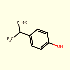 CCCCCCC(c1ccc(O)cc1)C(F)(F)F